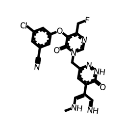 CN/C=C(\C=N)c1cc(Cn2cnc(CF)c(Oc3cc(Cl)cc(C#N)c3)c2=O)n[nH]c1=O